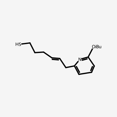 CC(C)COc1cccc(C/C=C/CCCS)n1